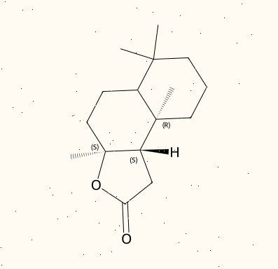 CC1(C)CCC[C@]2(C)C1CC[C@]1(C)OC(=O)C[C@H]12